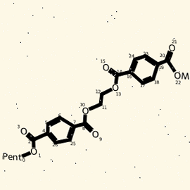 CCCCCOC(=O)c1ccc(C(=O)OCCOC(=O)c2ccc(C(=O)OC)cc2)cc1